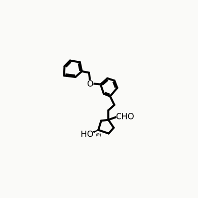 O=CC1(CCc2cccc(OCc3ccccc3)c2)CC[C@@H](O)C1